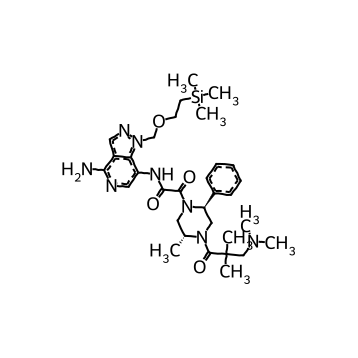 C[C@@H]1CN(C(=O)C(=O)Nc2cnc(N)c3cnn(COCC[Si](C)(C)C)c23)[C@@H](c2ccccc2)CN1C(=O)C(C)(C)CN(C)C